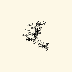 CCCCNC(=S)[S-].CCCCNC(=S)[S-].CCCCNC(=S)[S-].CCCCNC(=S)[S-].[Cu+2].[Cu+2]